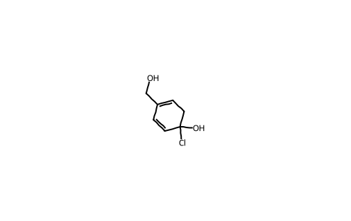 OCC1=CCC(O)(Cl)C=C1